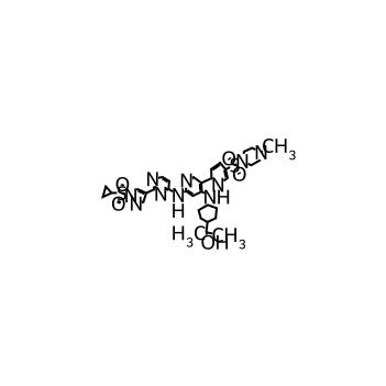 CN1CCN(S(=O)(=O)c2ccc(-c3cnc(Nc4ccnc(-c5cnn(S(=O)(=O)C6CC6)c5)n4)cc3NC3CCC(C(C)(C)O)CC3)nc2)CC1